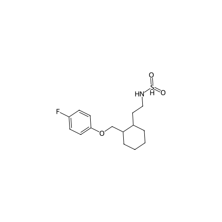 O=[SH](=O)NCCC1CCCCC1COc1ccc(F)cc1